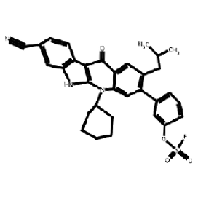 CC(C)Cc1cc2c(=O)c3c4ccc(C#N)cc4[nH]c3n(C3CCCCC3)c2cc1-c1cccc(OS(=O)(=O)F)c1